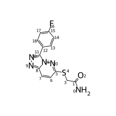 NC(=O)CSc1ccc2nnc(-c3ccc(F)cc3)n2n1